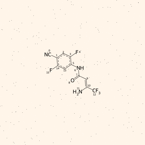 N#Cc1cc(F)c(NC(=O)/C=C(\N)C(F)(F)F)cc1F